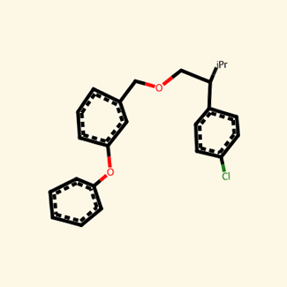 CC(C)C(COCc1cccc(Oc2ccccc2)c1)c1ccc(Cl)cc1